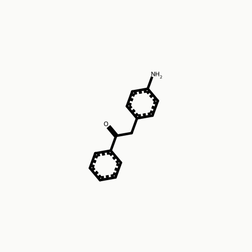 Nc1ccc(CC(=O)c2ccccc2)cc1